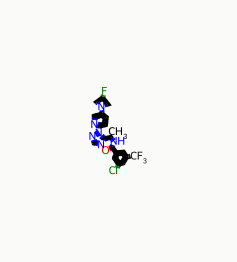 C[C@H](NC(=O)c1cc(Cl)cc(C(F)(F)F)c1)c1ncnn1-c1ccc(N2CC(F)C2)cn1